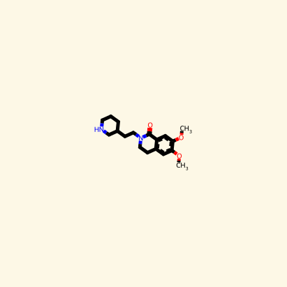 COc1cc2c(cc1OC)C(=O)N(CCC1CCCNC1)CC2